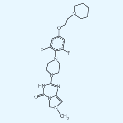 CN1C=C2N=C(N3CCN(c4c(F)cc(OCCN5CCCCC5)cc4F)CC3)NC(=O)N2C1